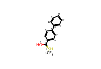 OC(=[SH]C(F)(F)F)c1ccc(-c2ccccc2)cc1